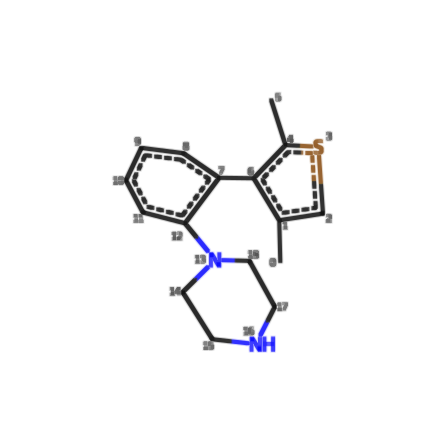 Cc1csc(C)c1-c1ccccc1N1CCNCC1